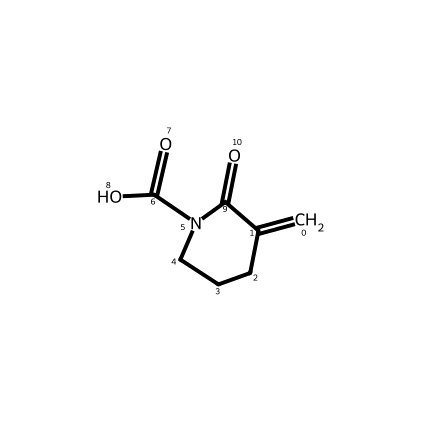 C=C1CCCN(C(=O)O)C1=O